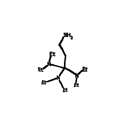 CCN(CC)C(CC[SiH3])(N(CC)CC)N(CC)CC